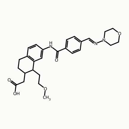 COCCC1c2cc(NC(=O)c3ccc(C=NN4CCOCC4)cc3)ccc2CCC1CC(=O)O